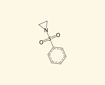 O=S(=O)(c1ccccc1)N1CC1